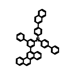 c1ccc(-c2ccc(N(c3ccc(-c4ccc5ccccc5c4)cc3)c3cc(-c4ccccc4)cc(-c4cc5c6ccccc6ccc5c5ccccc45)c3)cc2)cc1